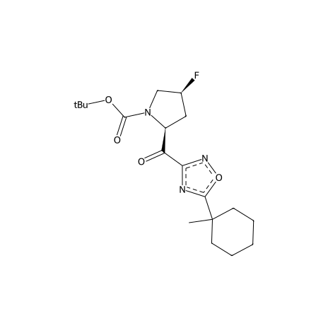 CC(C)(C)OC(=O)N1C[C@@H](F)C[C@H]1C(=O)c1noc(C2(C)CCCCC2)n1